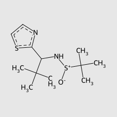 CC(C)(C)C(N[S+]([O-])C(C)(C)C)c1nccs1